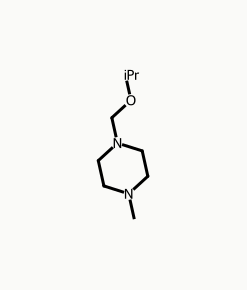 CC(C)OCN1CCN(C)CC1